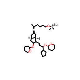 CC(=C=C1C[C@H]2CC(OC3CCCCO3)C(/C=C/[C@@H](O[C@@H]3CCCCO3)C3CCCC3)[C@H]2C1)CCCCO[Si](C)(C)C(C)(C)C